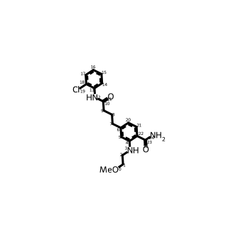 COCCNc1cc(CCCC(=O)Nc2ccccc2Cl)ccc1C(N)=O